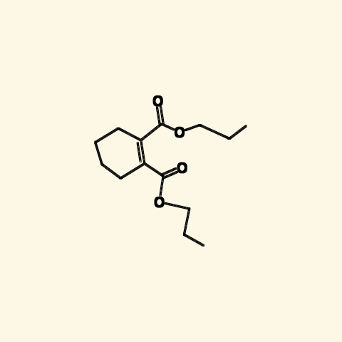 CCCOC(=O)C1=C(C(=O)OCCC)CCCC1